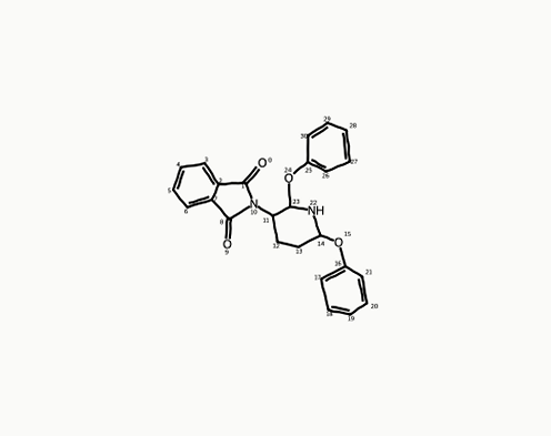 O=C1c2ccccc2C(=O)N1C1CCC(Oc2ccccc2)NC1Oc1ccccc1